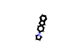 c1ccc2c(c1)CC1(CCC(N3CCCC3)CC1)C2